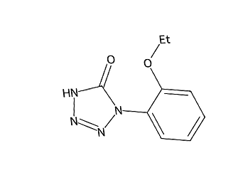 CCOc1ccccc1-n1nn[nH]c1=O